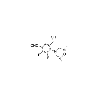 C[C@@H]1CN(c2c(CO)cc(C=O)c(F)c2F)C[C@H](C)O1